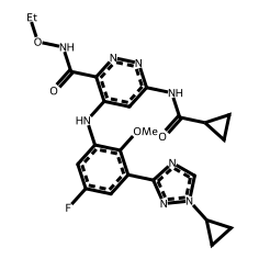 CCONC(=O)c1nnc(NC(=O)C2CC2)cc1Nc1cc(F)cc(-c2ncn(C3CC3)n2)c1OC